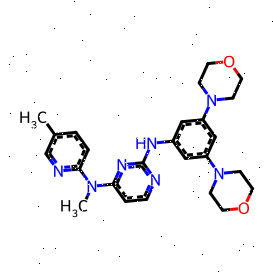 Cc1ccc(N(C)c2ccnc(Nc3cc(N4CCOCC4)cc(N4CCOCC4)c3)n2)nc1